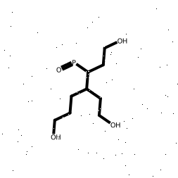 O=PC(CCO)C(CCO)CCCO